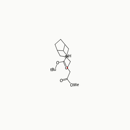 COC(=O)CCCN1CC2CCC(C1)C2NC(=O)OC(C)(C)C